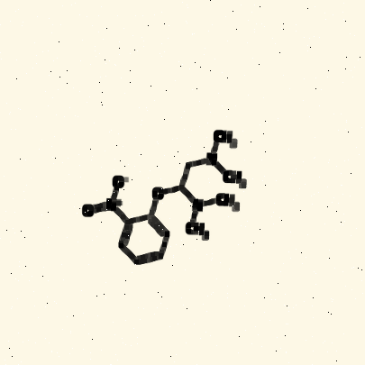 CN(C)CC(Oc1ccccc1[N+](=O)[O-])N(C)C